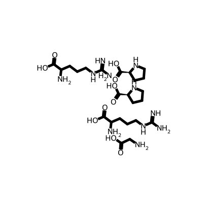 N=C(N)NCCCC(N)C(=O)O.N=C(N)NCCCC(N)C(=O)O.NCC(=O)O.O=C(O)[C@@H]1CCCN1.O=C(O)[C@@H]1CCCN1